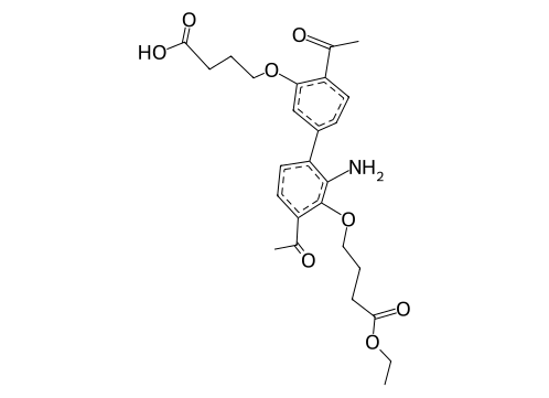 CCOC(=O)CCCOc1c(C(C)=O)ccc(-c2ccc(C(C)=O)c(OCCCC(=O)O)c2)c1N